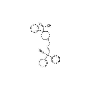 N#CC(C=CCN1CCC(C(=O)O)(c2ccccc2)CC1)(c1ccccc1)c1ccccc1